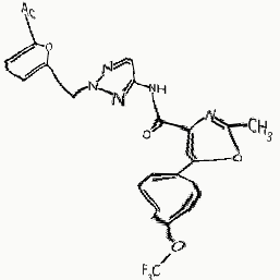 CC(=O)c1ccc(Cn2ncc(NC(=O)c3nc(C)oc3-c3cccc(OC(F)(F)F)c3)n2)o1